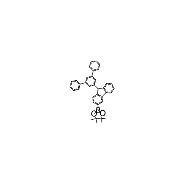 CC1(C)OB(c2ccc3c(c2)-c2ccccc2C3c2cc(-c3ccccc3)cc(-c3ccccc3)c2)OC1(C)C